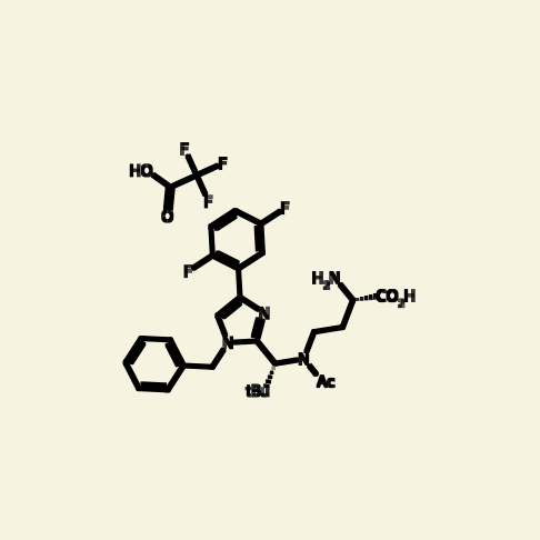 CC(=O)N(CC[C@H](N)C(=O)O)[C@@H](c1nc(-c2cc(F)ccc2F)cn1Cc1ccccc1)C(C)(C)C.O=C(O)C(F)(F)F